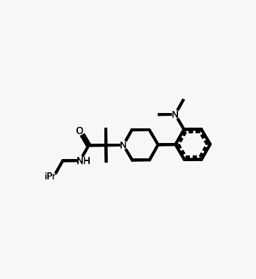 CC(C)CNC(=O)C(C)(C)N1CCC(c2ccccc2N(C)C)CC1